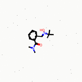 CN(C)C(=O)c1ccccc1/C=[N+](\O)C(C)(C)C